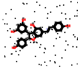 Oc1ccc(/C=C/c2cc(O)c3c(c2)O[C@H](c2ccc(O)cc2)[C@H]3c2cc(O)cc(O)c2)cc1